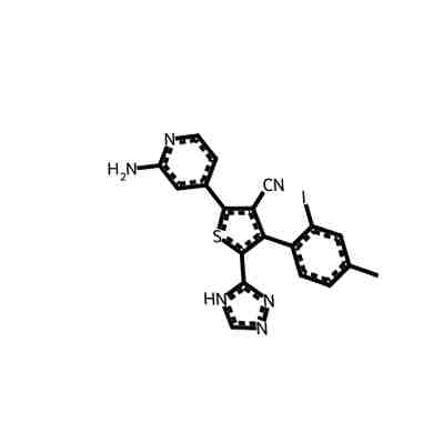 Cc1ccc(-c2c(-c3nnc[nH]3)sc(-c3ccnc(N)c3)c2C#N)c(I)c1